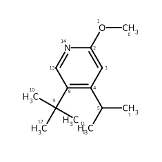 COc1cc(C(C)C)c(C(C)(C)C)cn1